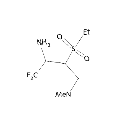 CCS(=O)(=O)C(CNC)C(N)C(F)(F)F